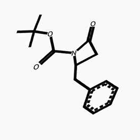 CC(C)(C)OC(=O)N1C(=O)CC1Cc1ccccc1